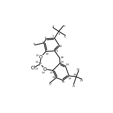 Cc1cc(C(C)(C)C)cc2c1OP(Cl)Oc1c(C)cc(C(C)(C)C)cc1C2